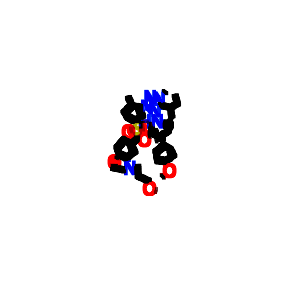 CCC(C[C@H]1C[C@H](c2ccc(OC)cc2)[C@@H](OC(c2ccc3c(c2)N(CCCOC)CCO3)S(=O)(=O)c2ccc(C)cc2)CN1)c1nnnn1C